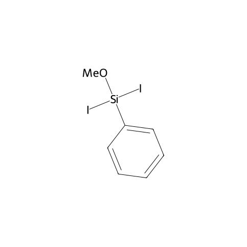 CO[Si](I)(I)c1ccccc1